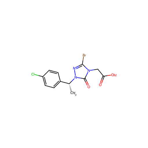 C[C@H](c1ccc(Cl)cc1)n1nc(Br)n(CC(=O)O)c1=O